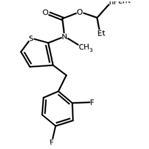 CCCCCC(CC)OC(=O)N(C)c1sccc1Cc1ccc(F)cc1F